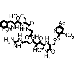 CC(=O)c1cnc(SSC[C@H](N[C@@H](CO)C(=O)C(=O)[C@H](CCCNC(=N)N)NC(=O)CNC(=O)[C@H](CC(=O)O)NC(=O)C(Cc2ccccc2)NN)C(N)=O)c([N+](=O)[O-])c1